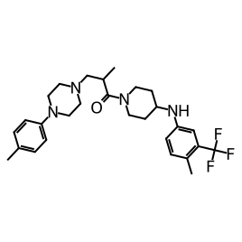 Cc1ccc(N2CCN(CC(C)C(=O)N3CCC(Nc4ccc(C)c(C(F)(F)F)c4)CC3)CC2)cc1